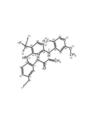 C=CC(=O)Nc1cc(CI)ccc1Nc1nc(Nc2cc(OC)ncc2C)ncc1C(F)(F)F